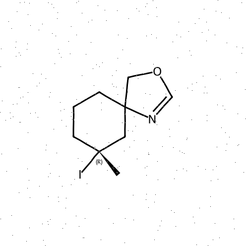 C[C@@]1(I)CCCC2(COC=N2)C1